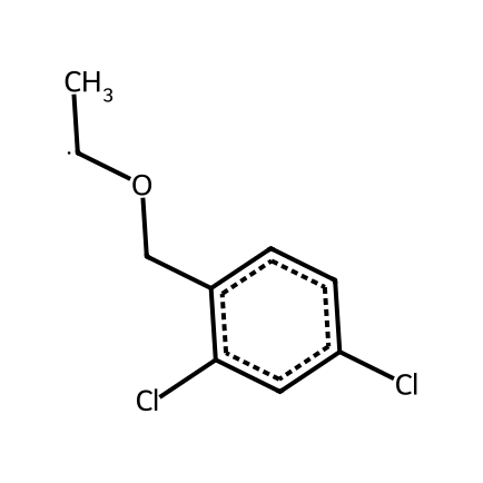 C[CH]OCc1ccc(Cl)cc1Cl